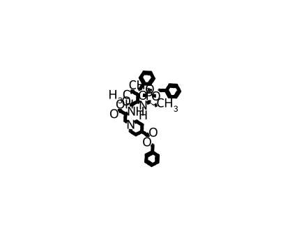 CC[C@H](NC(CC(C)C)C(=O)NC(CN1CCC(C(=O)OCc2ccccc2)CC1)C(=O)O)P(=O)(OCc1ccccc1)OCc1ccccc1